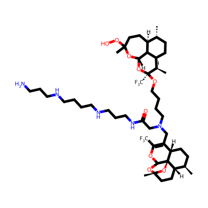 C[C@@H]1CC[C@@H]2C3[C@@H](OC(C)(OO)CC[C@H]31)O[C@@](OCCCCN(CC(=O)NCCCNCCCCNCCCN)CC1=C(C(F)(F)F)OC3O[C@@]4(C)CC[C@H]5[C@H](C)CC[C@@H]1[C@@]35O4)(C(F)(F)F)[C@@H]2C